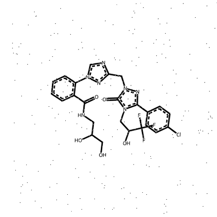 O=C(NCC(O)CO)c1ccccc1-n1cnc(Cn2nc(-c3ccc(Cl)cc3)n(CC(O)C(F)(F)F)c2=O)n1